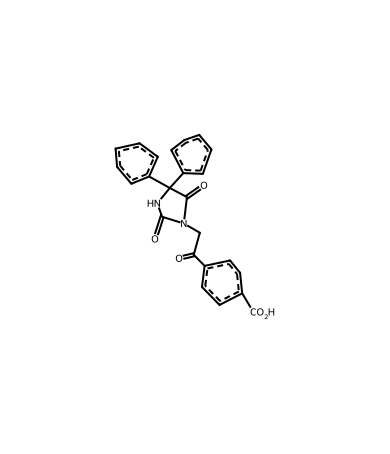 O=C(O)c1ccc(C(=O)CN2C(=O)NC(c3ccccc3)(c3ccccc3)C2=O)cc1